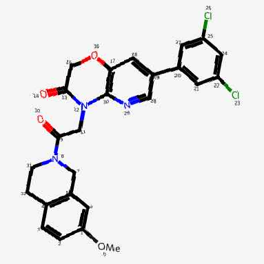 COc1ccc2c(c1)CN(C(=O)CN1C(=O)COc3cc(-c4cc(Cl)cc(Cl)c4)cnc31)CC2